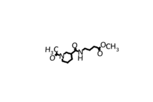 COC(=O)CCCNC(=O)C1CCCN(C(C)=O)C1